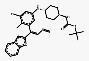 C=N/C=C(/c1cc2ccccc2o1)c1cc(N[C@H]2CC[C@H](NC(=O)OC(C)(C)C)CC2)cc(Cl)c1C